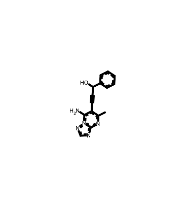 Cc1nc2ncnn2c(N)c1C#CC(O)c1ccccc1